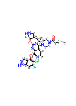 C=CC(=O)N1CCN(c2nc(O[C@@H]3CNCC3C3CC3)nc3c(Oc4c(Cl)c(F)cc5[nH]ncc45)nccc23)CC1